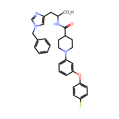 O=C(NC(Cc1cn(Cc2ccccc2)cn1)C(=O)O)C1CCN(c2cccc(Oc3ccc(F)cc3)c2)CC1